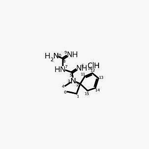 CCC1(N(C)C(=N)NC(=N)N)C=CC=CC1.Cl